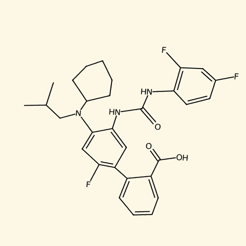 CC(C)CN(c1cc(F)c(-c2ccccc2C(=O)O)cc1NC(=O)Nc1ccc(F)cc1F)C1CCCCC1